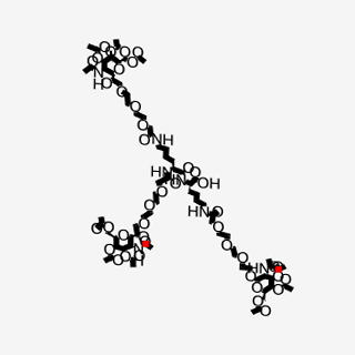 CC(=O)N[C@@H]1[C@@H](OC(C)=O)[C@@H](OC(C)=O)[C@@H](COC(C)=O)O[C@H]1C(=O)COCCOCCOCC(=O)NCCCC[C@H](NC(=O)COCCOCCOCC(=O)[C@@H]1O[C@H](COC(C)=O)[C@H](OC(C)=O)[C@H](OC(C)=O)[C@H]1NC(C)=O)C(=O)N[C@@H](CCCCNC(=O)COCCOCCOCCO[C@@H]1O[C@H](COC(C)=O)[C@H](OC(C)=O)[C@H](OC(C)=O)[C@H]1NC(C)=O)C(=O)O